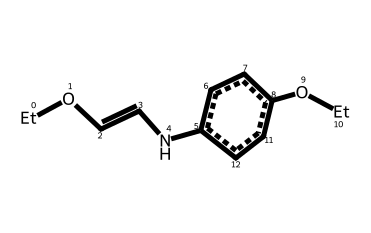 CCOC=CNc1ccc(OCC)cc1